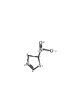 O=[N+]([O-])C1[CH]N=CS1